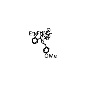 CCN(CC)c1ccccc1C1CN(NS(C)(=O)=O)C(=O)N1CCc1ccc(OC)cc1